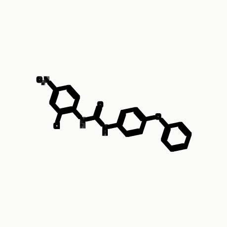 O=C(Nc1ccc(Oc2ccccc2)cc1)Nc1ccc([N+](=O)[O-])cc1Cl